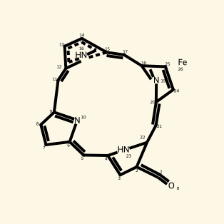 O=C=C1C=C2C=C3C=CC(=N3)C=c3ccc([nH]3)=CC3=NC(=CC1N2)C=C3.[Fe]